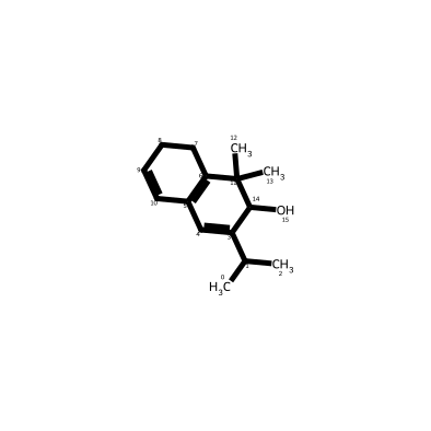 CC(C)C1=CC2=C(CCC=C2)C(C)(C)C1O